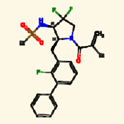 C=C(CC)C(=O)N1CC(F)(F)[C@H](NS(=O)(=O)CC)[C@@H]1Cc1cccc(-c2ccccc2)c1F